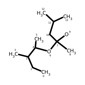 CCC(C)C(C)OC(C)([O])CC(C)C